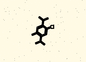 Cc1cc(C(C)C)c(Cl)cc1C(C)C